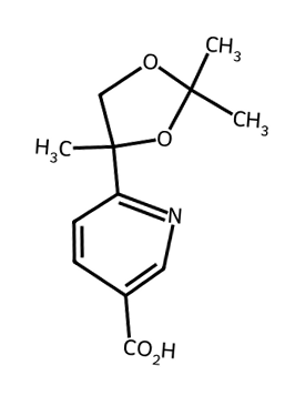 CC1(C)OCC(C)(c2ccc(C(=O)O)cn2)O1